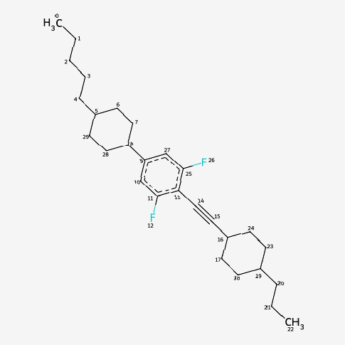 CCCCCC1CCC(c2cc(F)c(C#CC3CCC(CCC)CC3)c(F)c2)CC1